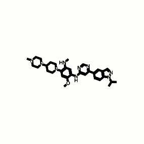 CNc1cc(Nc2cc(-c3ccc4c(cnn4C(C)C)c3)ncn2)c(OC)cc1N1CCC(N2CCN(C)CC2)CC1